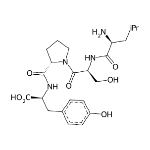 CC(C)C[C@H](N)C(=O)N[C@@H](CO)C(=O)N1CCC[C@H]1C(=O)N[C@@H](Cc1ccc(O)cc1)C(=O)O